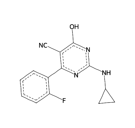 N#Cc1c(O)nc(NC2CC2)nc1-c1ccccc1F